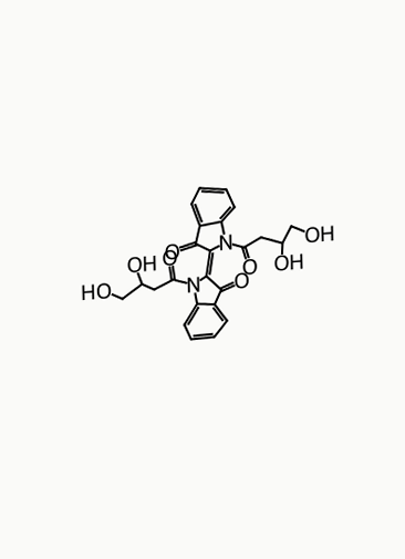 O=C1/C(=C2/C(=O)c3ccccc3N2C(=O)CC(O)CO)N(C(=O)CC(O)CO)c2ccccc21